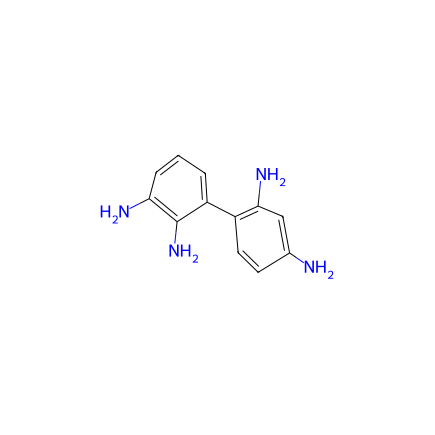 Nc1ccc(-c2cccc(N)c2N)c(N)c1